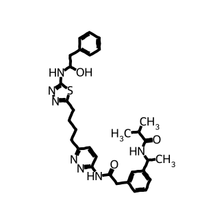 CC(C)C(=O)NC(C)c1cccc(CC(=O)Nc2ccc(CCCCc3nnc(NC(O)Cc4ccccc4)s3)nn2)c1